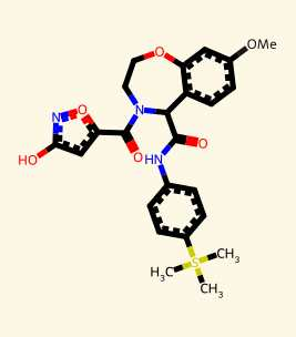 COc1ccc2c(c1)OCCN(C(=O)c1cc(O)no1)C2C(=O)Nc1ccc(S(C)(C)C)cc1